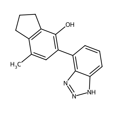 Cc1cc(-c2cccc3[nH]nnc23)c(O)c2c1CCC2